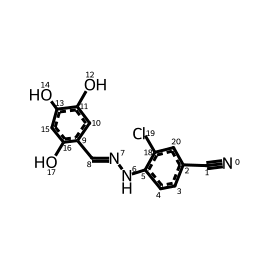 N#Cc1ccc(N/N=C/c2cc(O)c(O)cc2O)c(Cl)c1